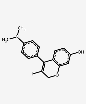 CN(C)c1ccc(C2=C(I)COc3cc(O)ccc32)cc1